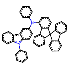 c1ccc(N(c2ccc3c(c2)c2ccccc2n3-c2ccccc2)c2cccc3c2-c2ccccc2C32c3ccccc3-c3ccccc32)cc1